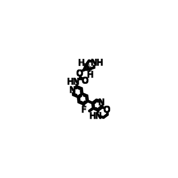 Cc1c(-c2cc3cc(NC(=O)OC4[C@H]5CNC[C@@H]45)ncc3cc2F)cnc2c1NCCO2